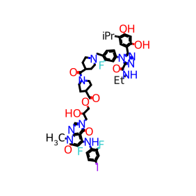 CCNC(=O)c1nnc(-c2cc(C(C)C)c(O)cc2O)n1-c1ccc(CN2CCC(C(=O)N3CCC(C(=O)OCC(O)Cn4cnc5c(c(Nc6ccc(I)cc6F)c(F)c(=O)n5C)c4=O)CC3)CC2)c(F)c1